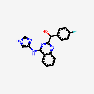 OC(c1ccc(F)cc1)c1nc(Nc2c[nH]cn2)c2ccccc2n1